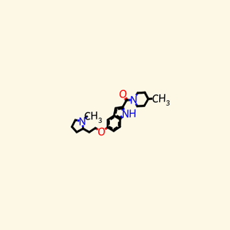 CC1CCN(C(=O)c2cc3cc(OCCC4CCCN4C)ccc3[nH]2)CC1